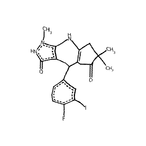 Cn1[nH]c(=O)c2c1NC1=C(C(=O)C(C)(C)C1)C2c1ccc(F)c(I)c1